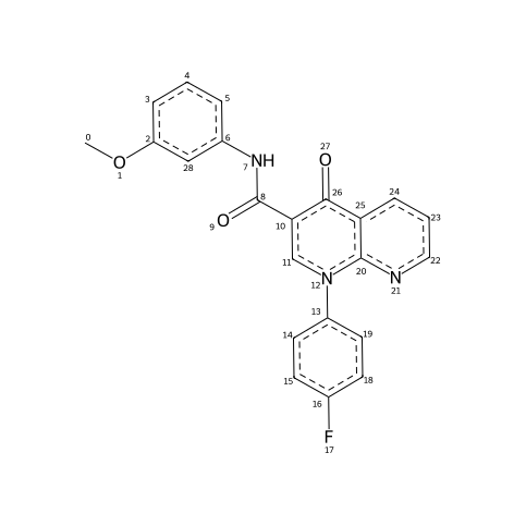 COc1cccc(NC(=O)c2cn(-c3ccc(F)cc3)c3ncccc3c2=O)c1